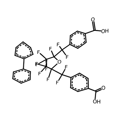 O=C(O)c1ccc(C(F)(F)C(F)(OC(F)(C(F)(F)F)C(F)(F)c2ccc(C(=O)O)cc2)C(F)(F)F)cc1.c1ccc(-c2ccccc2)cc1